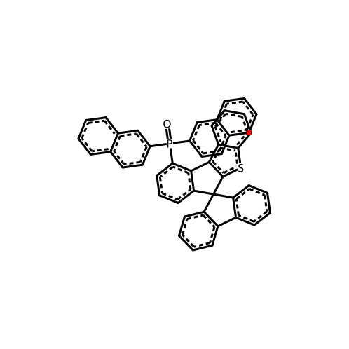 O=P(c1ccc2ccccc2c1)(c1ccc2ccccc2c1)c1cccc2c1-c1c(sc3ccccc13)C21c2ccccc2-c2ccccc21